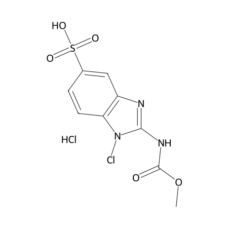 COC(=O)Nc1nc2cc(S(=O)(=O)O)ccc2n1Cl.Cl